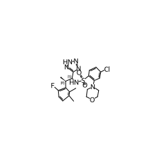 Cc1ccc(F)c([C@@H](C)[C@H](NS(=O)(=O)c2ccc(Cl)cc2N2CCOCC2)c2nn[nH]n2)c1C